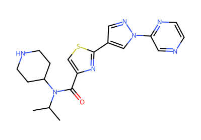 CC(C)N(C(=O)c1csc(-c2cnn(-c3cnccn3)c2)n1)C1CCNCC1